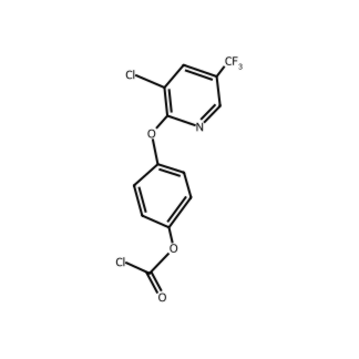 O=C(Cl)Oc1ccc(Oc2ncc(C(F)(F)F)cc2Cl)cc1